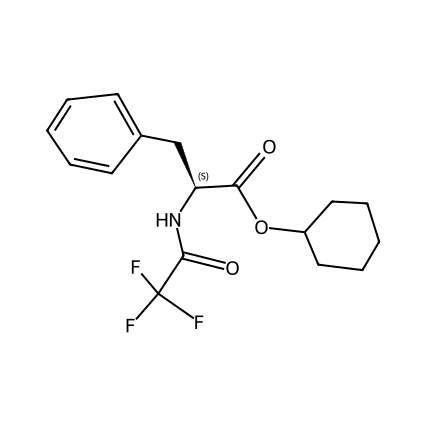 O=C(OC1CCCCC1)[C@H](Cc1ccccc1)NC(=O)C(F)(F)F